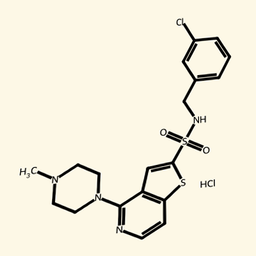 CN1CCN(c2nccc3sc(S(=O)(=O)NCc4cccc(Cl)c4)cc23)CC1.Cl